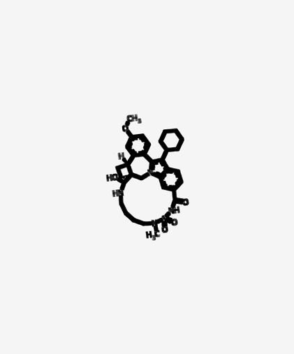 COc1ccc2c(c1)[C@H]1CC[C@@]13Cn1c-2c(C2CCCCC2)c2ccc(cc21)C(=O)NS(=O)(=O)N(C)CCCCNC3O